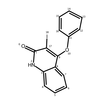 O=c1[nH]c2ccccc2c(Oc2ccccc2)c1I